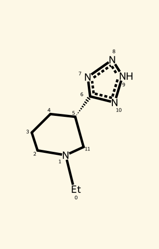 CCN1CCC[C@H](c2nn[nH]n2)C1